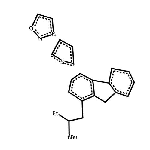 CCCCC(CC)Cc1cccc2c1Cc1ccccc1-2.c1ccsc1.c1conn1